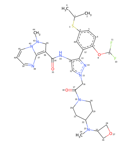 CC(C)Sc1ccc(OC(F)F)c(-c2nn(CC(=O)N3CCC(N(C)C4COC4)CC3)cc2NC(=O)C2=C3N=CC=CN3N(C)C2)c1